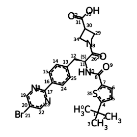 CC(C)(C)c1ccc(C(=O)N[C@@H](Cc2ccc(-c3ncc(Br)cn3)cc2)C(=O)N2CC(C(=O)O)C2)s1